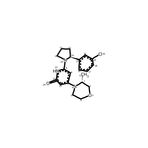 C[C@@H]1COCCN1c1cc(N2CCC[C@H]2c2cccc(Cl)c2)[nH]c(=O)c1